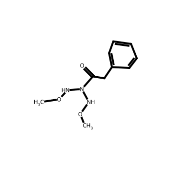 CONN(NOC)C(=O)Cc1ccccc1